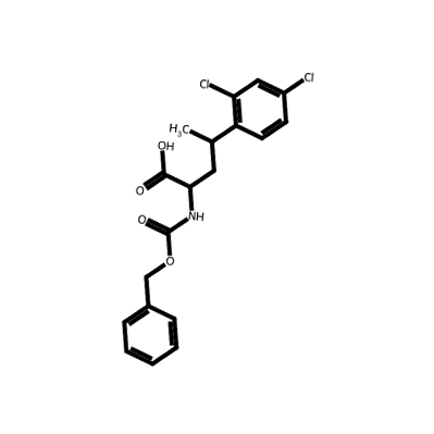 CC(CC(NC(=O)OCc1ccccc1)C(=O)O)c1ccc(Cl)cc1Cl